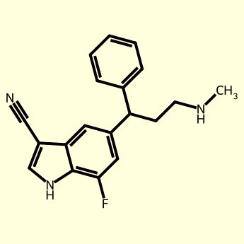 CNCCC(c1ccccc1)c1cc(F)c2[nH]cc(C#N)c2c1